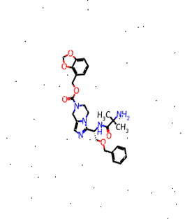 CC(C)(N)C(=O)N[C@H](COCc1ccccc1)c1ncc2n1CCN(C(=O)OCc1cccc3c1OCO3)C2